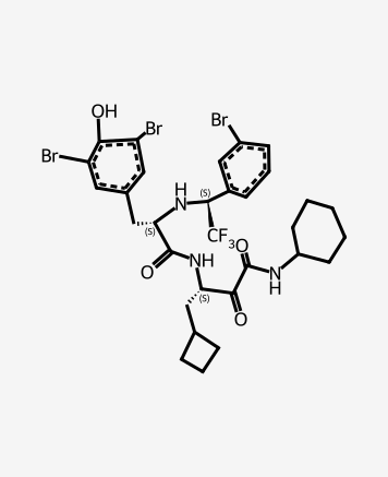 O=C(NC1CCCCC1)C(=O)[C@H](CC1CCC1)NC(=O)[C@H](Cc1cc(Br)c(O)c(Br)c1)N[C@@H](c1cccc(Br)c1)C(F)(F)F